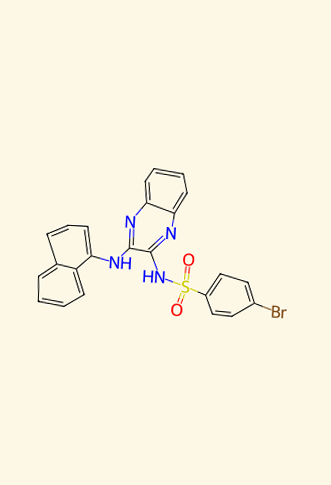 O=S(=O)(Nc1nc2ccccc2nc1Nc1cccc2ccccc12)c1ccc(Br)cc1